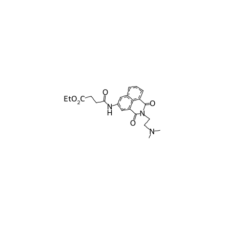 CCOC(=O)CCC(=O)Nc1cc2c3c(cccc3c1)C(=O)N(CCN(C)C)C2=O